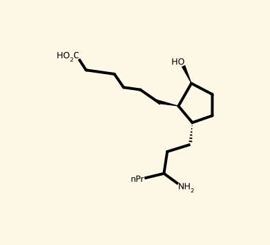 CCCC(N)CC[C@H]1CC[C@H](O)[C@@H]1CCCCCC(=O)O